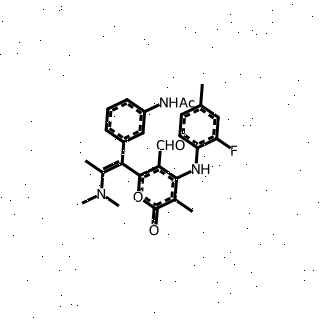 CC(=O)Nc1cccc(/C(=C(\C)N(C)C)c2oc(=O)c(C)c(Nc3ccc(C)cc3F)c2C=O)c1